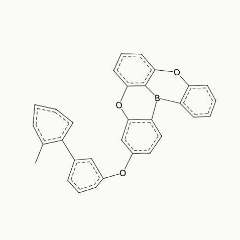 Cc1ccccc1-c1cccc(Oc2ccc3c(c2)Oc2cccc4c2B3c2ccccc2O4)c1